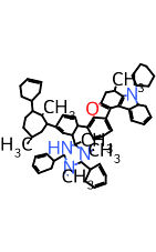 CC1Cc2oc3c(C4C=CC(C5C[C@@H](C)CCC(C6CC=CCC6)[C@H]5C)=CC4C4(C)NC(C5C=CC=CC5)N(C)C(C5C=CC=CC5)N4C)cccc3c2C2=C1N(C1CCCCC1)C1CC=CC=C21